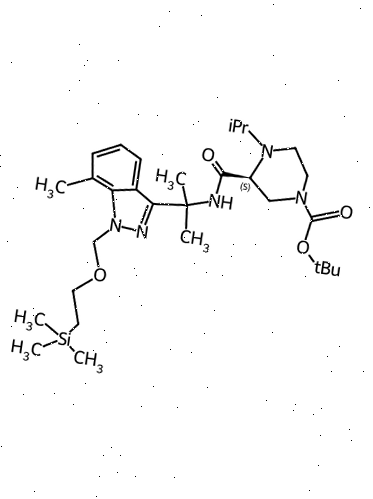 Cc1cccc2c(C(C)(C)NC(=O)[C@@H]3CN(C(=O)OC(C)(C)C)CCN3C(C)C)nn(COCC[Si](C)(C)C)c12